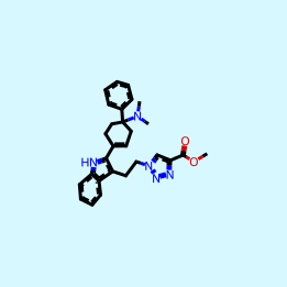 COC(=O)c1cn(CCc2c(C3=CCC(c4ccccc4)(N(C)C)CC3)[nH]c3ccccc23)nn1